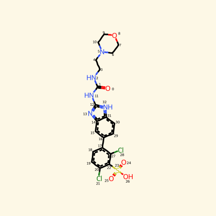 O=C(NCCN1CCOCC1)Nc1nc2cc(-c3ccc(Cl)c(S(=O)(=O)O)c3Cl)ccc2[nH]1